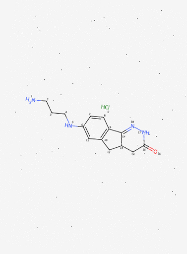 Cl.NCCCNc1ccc2c(c1)CC1CC(=O)NN=C21